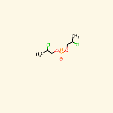 CC(Cl)CO[PH](=O)OCC(C)Cl